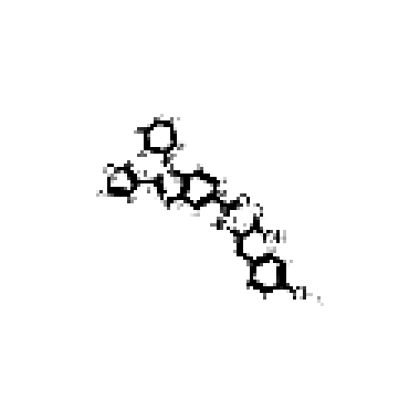 Cc1ccc(CC(NC(=O)c2ccc3c(c2)nc(-c2ccoc2)n3C2CCCCC2)C(=O)O)cc1